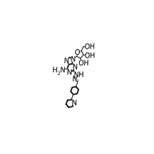 Nc1nc(N/N=C/c2ccc(-c3ccccn3)cc2)nc2c1ncn2C1OC(CO)C(O)C1O